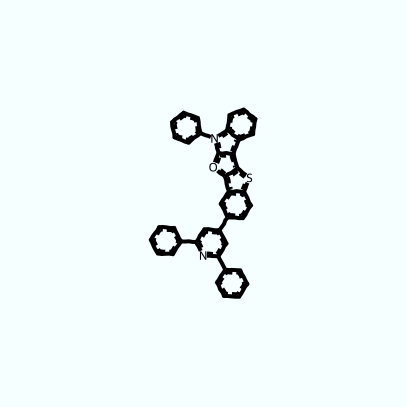 c1ccc(-c2cc(-c3ccc4sc5c(oc6c5c5ccccc5n6-c5ccccc5)c4c3)cc(-c3ccccc3)n2)cc1